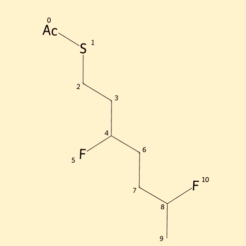 CC(=O)SCCC(F)CCC(C)F